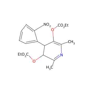 CCOC(=O)OC1=C(C)N=C(C)C(OC(=O)OCC)C1c1ccccc1[N+](=O)[O-]